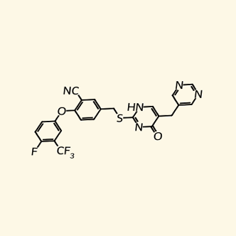 N#Cc1cc(CSc2nc(=O)c(Cc3cncnc3)c[nH]2)ccc1Oc1ccc(F)c(C(F)(F)F)c1